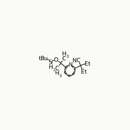 CCC(C#N)(CC)c1cccc(C(C)(C)O[SiH2]C(C)(C)C)n1